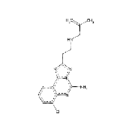 C=C(C)CNCCc1nc2c3cccc(Cl)c3nc(N)n2n1